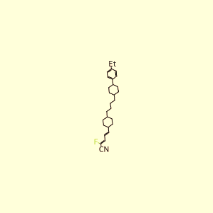 CCc1ccc(C2CCC(CCCCC3CCC(C=CC=C(F)C#N)CC3)CC2)cc1